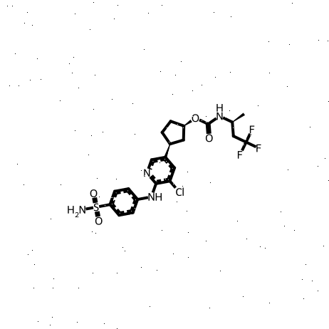 C[C@@H](CC(F)(F)F)NC(=O)O[C@@H]1CC[C@H](c2cnc(Nc3ccc(S(N)(=O)=O)cc3)c(Cl)c2)C1